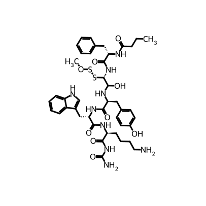 CCCC(=O)N[C@@H](Cc1ccccc1)C(=O)N[C@@H](SSOC)C(O)N[C@@H](Cc1ccc(O)cc1)C(=O)N[C@@H](Cc1c[nH]c2ccccc12)C(=O)N[C@@H](CCCCN)C(=O)NC(N)=O